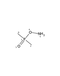 CP(C)(=O)ON